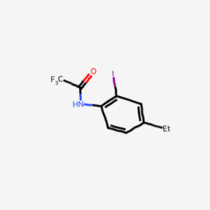 CCc1ccc(NC(=O)C(F)(F)F)c(I)c1